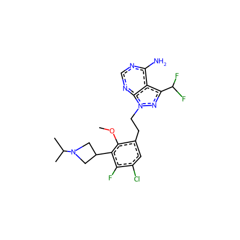 COc1c(CCn2nc(C(F)F)c3c(N)ncnc32)cc(Cl)c(F)c1C1CN(C(C)C)C1